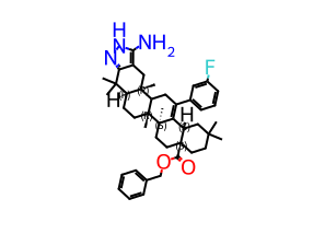 CC1(C)CC[C@]2(C(=O)OCc3ccccc3)CC[C@]3(C)C(=C(c4cccc(F)c4)CC4[C@@]5(C)Cc6c(n[nH]c6N)C(C)(C)[C@@H]5CC[C@]43C)[C@@H]2C1